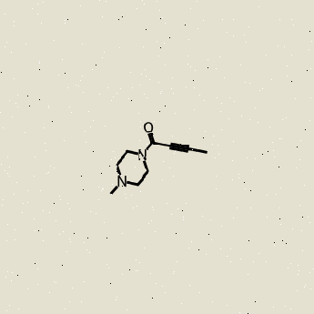 CC#CC(=O)N1CCN(C)CC1